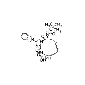 CC(C)(C)OC(=O)N[C@H]1CCCCC/C=C\[C@@H]2C[C@@]2(C(=O)O)NC(=O)[C@@H]2C[C@@H](N3Cc4ccccc4C3)CN2C1=O